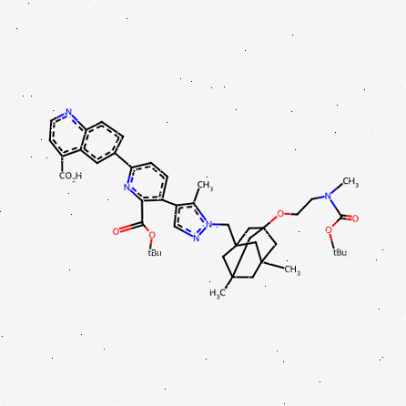 Cc1c(-c2ccc(-c3ccc4nccc(C(=O)O)c4c3)nc2C(=O)OC(C)(C)C)cnn1CC12CC3(C)CC(C)(C1)CC(OCCN(C)C(=O)OC(C)(C)C)(C3)C2